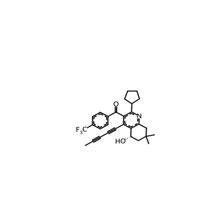 CC#CC#Cc1c(C(=O)c2ccc(C(F)(F)F)cc2)c(C2CCCC2)nc2c1[C@@H](O)CC(C)(C)C2